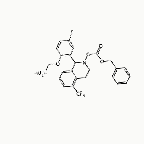 O=C(O)COc1ccc(F)cc1C1c2cccc(C(F)(F)F)c2CCN1OC(=O)OCc1ccccc1